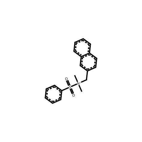 C[N+](C)(Cc1ccc2ccccc2c1)S(=O)(=O)c1ccccc1